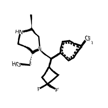 C[C@H]1CN(C(c2ccc(C(F)(F)F)cc2)C2CC(F)(F)C2)[C@H](CO)CN1